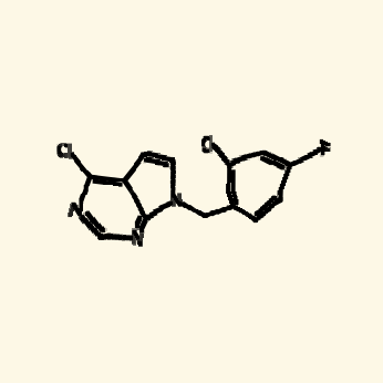 Fc1ccc(Cn2ccc3c(Cl)ncnc32)c(Cl)c1